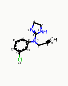 C#CCN(C1=NCCN1)c1cccc(Cl)c1